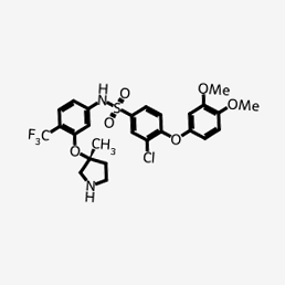 COc1ccc(Oc2ccc(S(=O)(=O)Nc3ccc(C(F)(F)F)c(O[C@]4(C)CCNC4)c3)cc2Cl)cc1OC